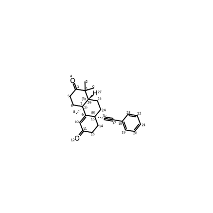 CC1(C)C(=O)CC[C@]2(C)C3=CC(=O)CC[C@]3(C#Cc3ccccc3)CC[C@@H]12